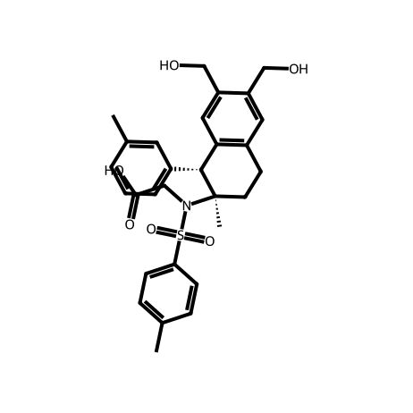 Cc1ccc(S(=O)(=O)N(CC(=O)O)[C@]2(C)CCc3cc(CO)c(CO)cc3[C@H]2c2cccc(C)c2)cc1